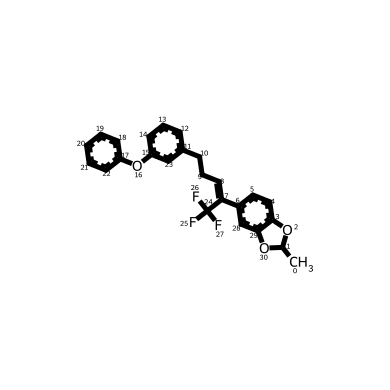 CC1Oc2ccc(C(=CCCc3cccc(Oc4ccccc4)c3)C(F)(F)F)cc2O1